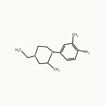 CCN1CCN(c2ccc(N)c(C)c2)C(C)C1